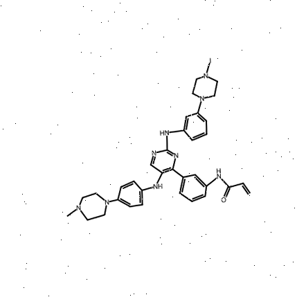 C=CC(=O)Nc1cccc(-c2nc(Nc3cccc(N4CCN(I)CC4)c3)ncc2Nc2ccc(N3CCN(C)CC3)cc2)c1